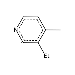 CCc1[c]nccc1C